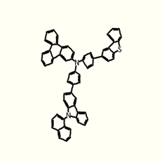 c1ccc2c(-n3c4ccccc4c4cc(-c5ccc(N(c6ccc(-c7ccc8sc9ccccc9c8c7)cc6)c6ccc7c8ccccc8c8ccccc8c7c6)cc5)ccc43)cccc2c1